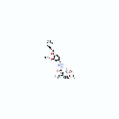 CCC#CCOc1ccc(CNNC(=O)[C@@H](NS(C)(=O)=O)C(C)C)cc1OC